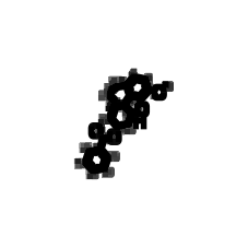 COc1ccc2c3c1O[C@H]1C[C@@H](OC(=O)c4ccccc4)C=C[C@@]31CCCC2